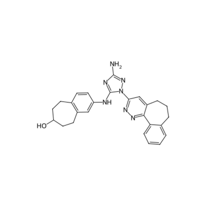 Nc1nc(Nc2ccc3c(c2)CCC(O)CC3)n(-c2cc3c(nn2)-c2ccccc2CCC3)n1